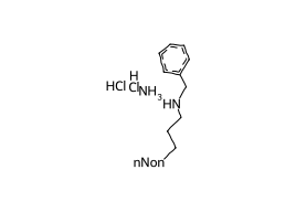 CCCCCCCCCCCCNCc1ccccc1.Cl.Cl.N